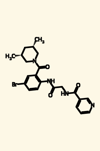 C[C@@H]1C[C@H](C)CN(C(=O)c2cc(Br)ccc2NC(=O)CNC(=O)c2cccnc2)C1